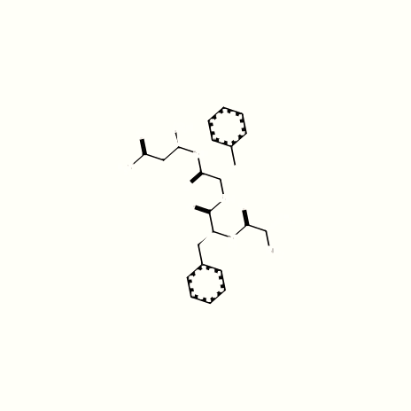 C[C@H](N)C(=O)N[C@@H](Cc1ccccc1)C(=O)N[C@@H](Cc1ccccc1)C(=O)N[C@@H](CC(N)=O)C(=O)O